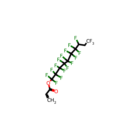 C=CC(=O)OC(F)(F)C(F)(F)C(F)(F)C(F)(F)C(F)(F)C(F)(F)C(F)(F)C(F)CC(F)(F)F